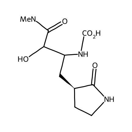 CNC(=O)C(O)C(C[C@@H]1CCNC1=O)NC(=O)O